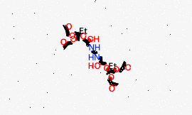 CCC(COCC1CO1)(COCC1CO1)OCC(O)CNCCNCC(O)COC(CC)(COCC1CO1)COCC1CO1